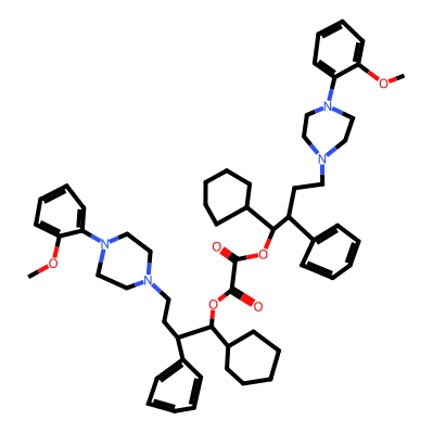 COc1ccccc1N1CCN(CCC(c2ccccc2)C(OC(=O)C(=O)OC(C2CCCCC2)C(CCN2CCN(c3ccccc3OC)CC2)c2ccccc2)C2CCCCC2)CC1